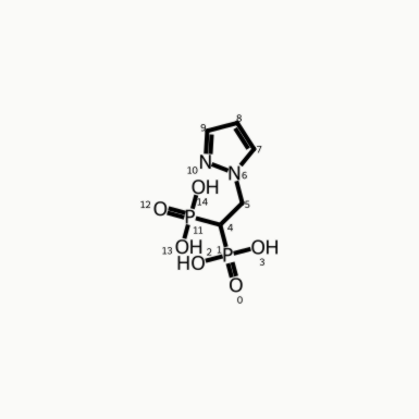 O=P(O)(O)C(Cn1cccn1)P(=O)(O)O